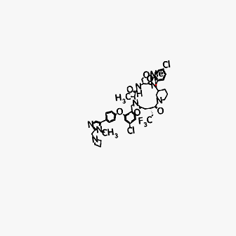 COCC1NC(=O)[C@H](C)N(Cc2ccc(Cl)cc2Oc2ccc(-c3cnc(CN4CCC4)n3C)cc2)C(=O)C[C@@H](CC(F)(F)F)C(=O)N2CCC[C@@](Cc3ccc(Cl)cc3)(C2)NC1=O